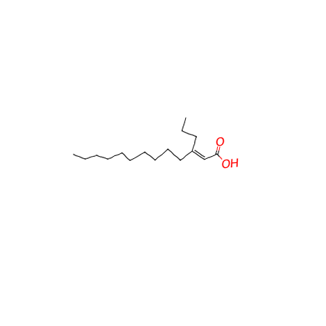 CCCCCCCCCC/C(=C/C(=O)O)CCC